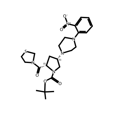 CC(C)(C)OC(=O)N1C[C@@H](N2CCN(c3ccccc3[N+](=O)[O-])CC2)C[C@H]1C(=O)N1CCSC1